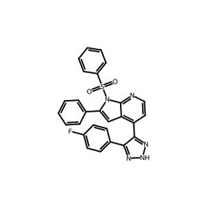 O=S(=O)(c1ccccc1)n1c(-c2ccccc2)cc2c(-c3n[nH]nc3-c3ccc(F)cc3)ccnc21